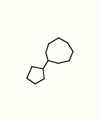 C1CCCC(C2CCCC2)CCC1